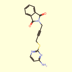 Nc1ccnc(SCC#CCN2C(=O)c3ccccc3C2=O)n1